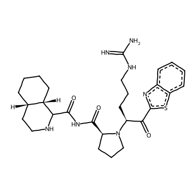 N=C(N)NCCC[C@@H](C(=O)c1nc2ccccc2s1)N1CCC[C@H]1C(=O)NC(=O)C1NCC[C@@H]2CCCC[C@H]12